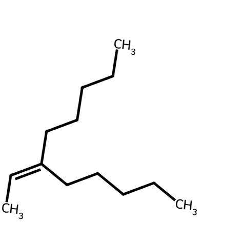 CC=C(CCCCC)CCCCC